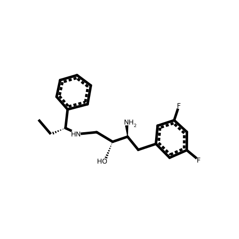 CC[C@@H](NC[C@@H](O)[C@@H](N)Cc1cc(F)cc(F)c1)c1ccccc1